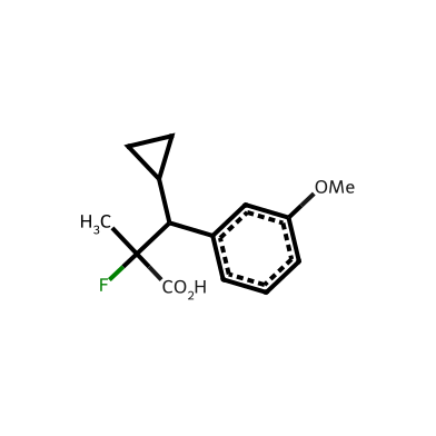 COc1cccc(C(C2CC2)C(C)(F)C(=O)O)c1